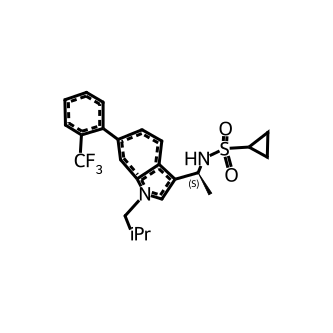 CC(C)Cn1cc([C@H](C)NS(=O)(=O)C2CC2)c2ccc(-c3ccccc3C(F)(F)F)cc21